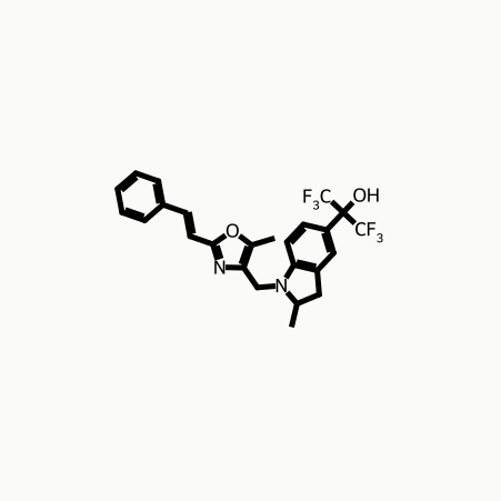 Cc1oc(/C=C/c2ccccc2)nc1CN1c2ccc(C(O)(C(F)(F)F)C(F)(F)F)cc2CC1C